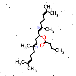 CCCC(=O)OC(/C=C(\C)CCC=C(C)C)C/C=C(\C)CCC=C(C)C